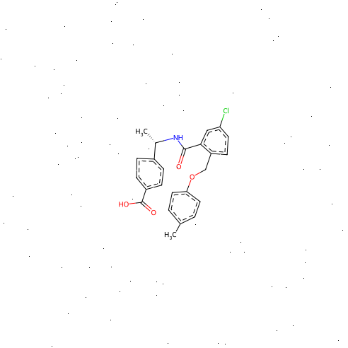 Cc1ccc(OCc2ccc(Cl)cc2C(=O)N[C@@H](C)c2ccc(C(=O)O)cc2)cc1